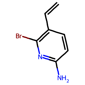 C=Cc1ccc(N)nc1Br